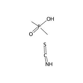 CP(C)(=O)O.N=C=S